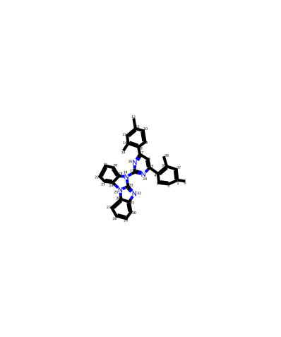 Cc1ccc(-c2cc(-c3ccc(C)cc3C)nc(-n3c4ccccc4n4c5ccccc5nc34)n2)c(C)c1